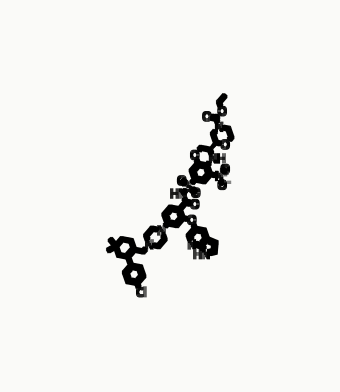 CCOC(=O)N1CCOC([C@@H]2COc3cc(S(=O)(=O)NC(=O)c4ccc(N5CCN(CC6=C(c7ccc(Cl)cc7)CC(C)(C)CC6)CC5)cc4Oc4cnc5[nH]ccc5c4)cc([N+](=O)[O-])c3N2)C1